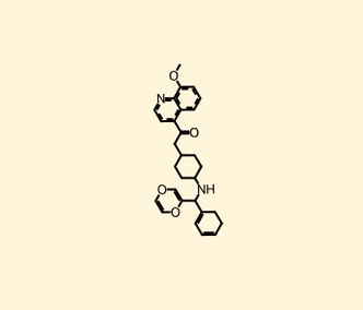 COc1cccc2c(C(=O)CC3CCC(NC(C4=CC=CCC4)C4=COC=CO4)CC3)ccnc12